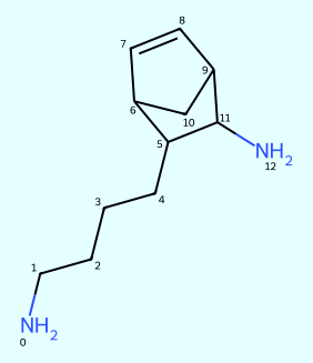 NCCCCC1C2C=CC(C2)C1N